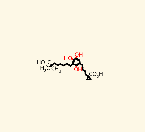 CC(C)(CCCCCCc1c(O)c(O)cc(CCCCC2(C(=O)O)CC2)c1O)C(=O)O